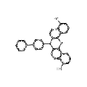 Oc1cccc2c3c(ccc12)C(c1ccc(-c2ccccc2)cc1)c1ccc2c(O)cccc2c1O3